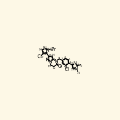 Cc1nc(-c2ccc(CN3C(=O)CCn4nc(-c5c(Cl)cnn5C(C)C)cc43)cc2Cl)cn1C